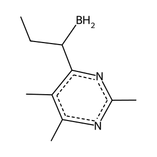 BC(CC)c1nc(C)nc(C)c1C